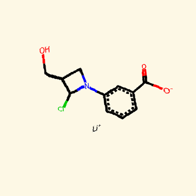 O=C([O-])c1cccc(N2CC(CO)C2Cl)c1.[Li+]